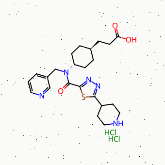 Cl.Cl.O=C(O)CC[C@H]1CC[C@H](N(Cc2cccnc2)C(=O)c2nnc(C3CCNCC3)s2)CC1